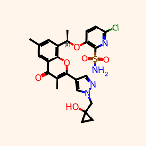 Cc1cc([C@@H](C)Oc2ccc(Cl)nc2S(N)(=O)=O)c2oc(-c3cnn(CC4(O)CC4)c3)c(C)c(=O)c2c1